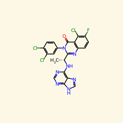 C[C@@H](Nc1ncnc2[nH]cnc12)c1nc2ccc(F)c(Cl)c2c(=O)n1-c1ccc(Cl)c(Cl)c1